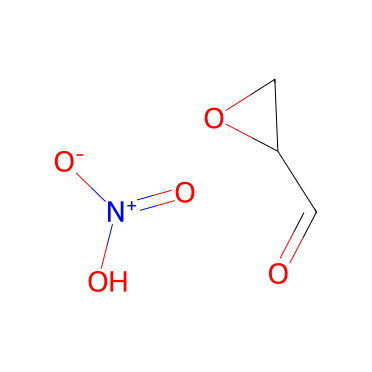 O=CC1CO1.O=[N+]([O-])O